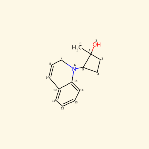 CC1(O)CCC1N1CC=Cc2ccccc21